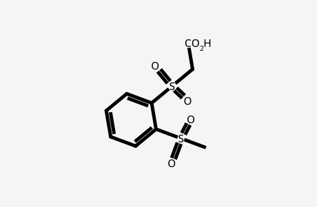 CS(=O)(=O)c1ccccc1S(=O)(=O)CC(=O)O